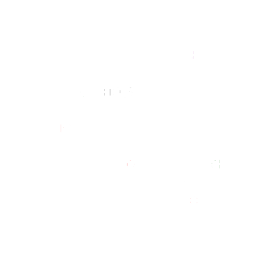 O=c1cc2oc3cc(O)c(Cl)cc3c(-c3ccc(I)cc3S(=O)(=O)O)c-2cc1Cl